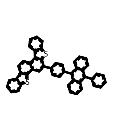 c1ccc(-c2c3ccccc3c(-c3ccc(-c4cc5c(ccc6c7ccccc7sc65)c5c4sc4ccccc45)cc3)c3ccccc23)cc1